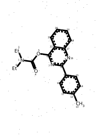 CCN(CC)C(=O)Oc1nc(-c2ccc(C)cc2)nc2ccccc12